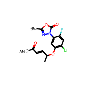 COC(=O)C=CC(C)Oc1cc(-n2nc(C(C)(C)C)oc2=O)c(F)cc1Cl